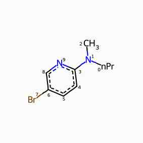 CCCN(C)c1ccc(Br)cn1